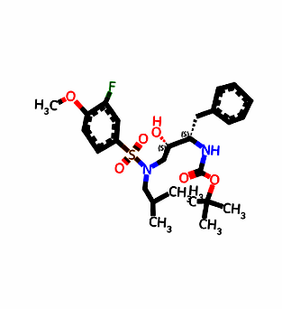 COc1ccc(S(=O)(=O)N(CC(C)C)C[C@H](O)[C@H](Cc2ccccc2)NC(=O)OC(C)(C)C)cc1F